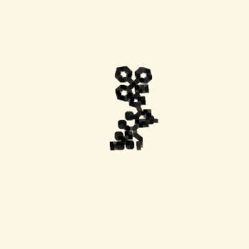 CON=C(C(=O)NC1C(=O)N(S(=O)(=O)O)C1CF)c1csc(NC(c2ccccc2)(c2ccccc2)c2ccccc2)n1